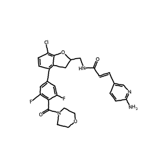 Nc1ccc(/C=C/C(=O)NCC2Cc3c(-c4cc(F)c(C(=O)N5CCOCC5)c(F)c4)ccc(Cl)c3O2)cn1